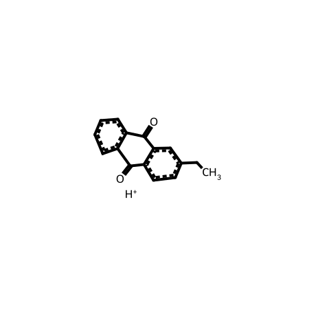 CCc1ccc2c(c1)C(=O)c1ccccc1C2=O.[H+]